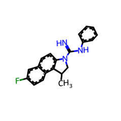 CC1CN(C(=N)Nc2ccccc2)c2ccc3cc(F)ccc3c21